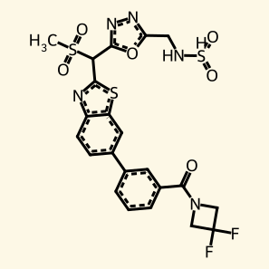 CS(=O)(=O)C(c1nnc(CN[SH](=O)=O)o1)c1nc2ccc(-c3cccc(C(=O)N4CC(F)(F)C4)c3)cc2s1